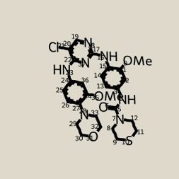 COc1cc(NC(=O)N2CCSCC2)ccc1Nc1ncc(Cl)c(Nc2ccc(N3CCOCC3)c(OC)c2)n1